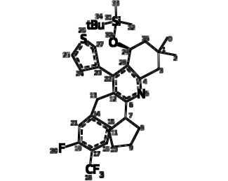 CC1(C)Cc2nc(C3CCCC3)c(Cc3ccc(C(F)(F)F)c(F)c3)c(-c3ccsc3)c2[C@@H](O[Si](C)(C)C(C)(C)C)C1